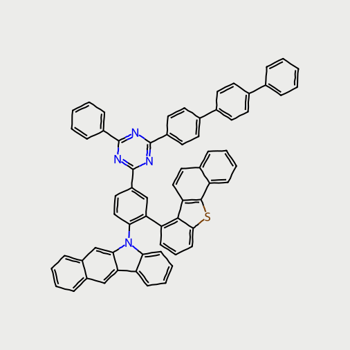 c1ccc(-c2ccc(-c3ccc(-c4nc(-c5ccccc5)nc(-c5ccc(-n6c7ccccc7c7cc8ccccc8cc76)c(-c6cccc7sc8c9ccccc9ccc8c67)c5)n4)cc3)cc2)cc1